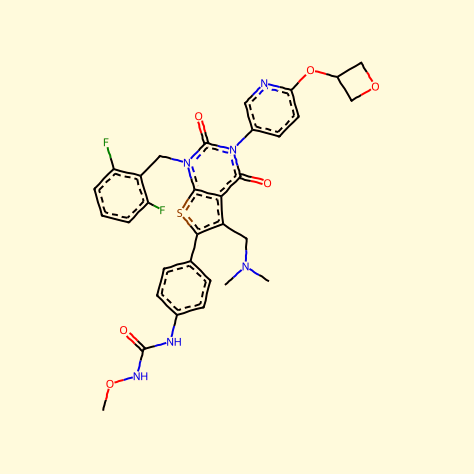 CONC(=O)Nc1ccc(-c2sc3c(c2CN(C)C)c(=O)n(-c2ccc(OC4COC4)nc2)c(=O)n3Cc2c(F)cccc2F)cc1